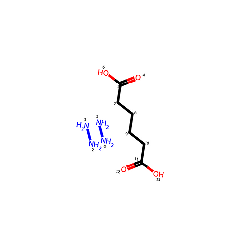 NN.NN.O=C(O)CCCCC(=O)O